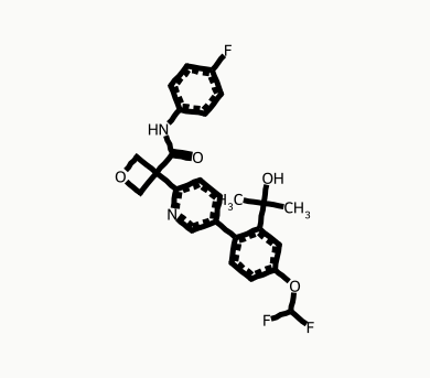 CC(C)(O)c1cc(OC(F)F)ccc1-c1ccc(C2(C(=O)Nc3ccc(F)cc3)COC2)nc1